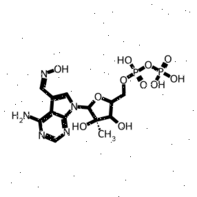 C[C@@]1(O)C(O)C(COP(=O)(O)OP(=O)(O)O)OC1n1cc(/C=N\O)c2c(N)ncnc21